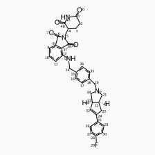 O=C1CCC(N2C(=O)c3cccc(NCc4ccc(CN5C[C@H]6CC(c7ccc(F)cc7)=C[C@H]6C5)cc4)c3C2=O)C(=O)N1